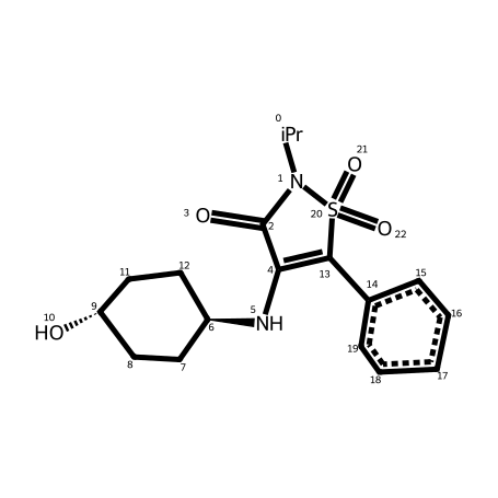 CC(C)N1C(=O)C(N[C@H]2CC[C@H](O)CC2)=C(c2ccccc2)S1(=O)=O